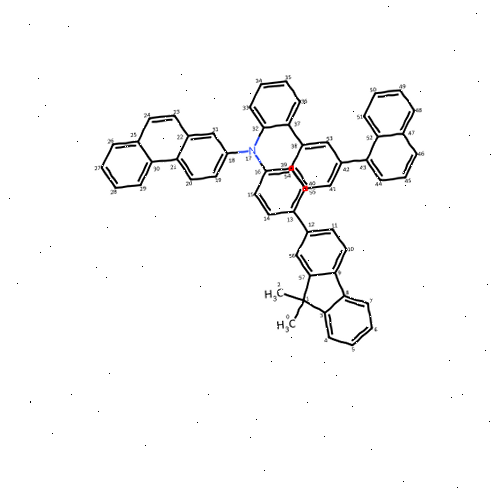 CC1(C)c2ccccc2-c2ccc(-c3ccc(N(c4ccc5c(ccc6ccccc65)c4)c4ccccc4-c4cccc(-c5cccc6ccccc56)c4)cc3)cc21